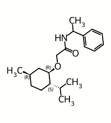 CC(NC(=O)CO[C@@H]1C[C@H](C)CC[C@H]1C(C)C)c1ccccc1